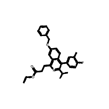 CCOC(=O)CCc1nc(C(C)C)c(-c2ccc(F)c(C)c2)c2ccc(OCc3ccccc3)cc12